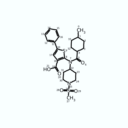 CC1CCC(C(=O)N(c2sc(-c3ccccc3)cc2C(=O)O)C2CCN(S(C)(=O)=O)CC2)CC1